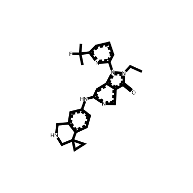 CCn1c(=O)c2cnc(Nc3ccc4c(c3)CNCC43CC3)cc2n1-c1cccc(C(C)(C)F)n1